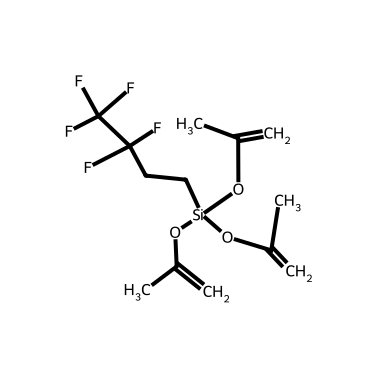 C=C(C)O[Si](CCC(F)(F)C(F)(F)F)(OC(=C)C)OC(=C)C